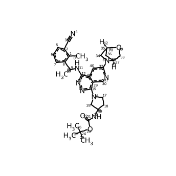 Cc1c(C#N)cccc1[C@@H](C)Nc1nnc(N2CC[C@@H](NC(=O)OC(C)(C)C)C2)c2cnc(N3C[C@H]4C[C@@H]3CO4)cc12